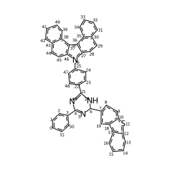 c1ccc(C2=NC(c3ccc4sc5ccccc5c4c3)NC(c3ccc(-n4c5ccc6ccccc6c5c5c6ccccc6ccc54)cc3)=N2)cc1